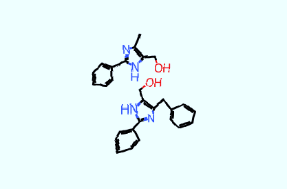 Cc1nc(-c2ccccc2)[nH]c1CO.OCc1[nH]c(-c2ccccc2)nc1Cc1ccccc1